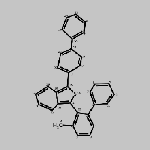 Cc1cccc(-c2ccccc2)c1-c1sc(-c2ccc(-c3ccccc3)cc2)c2ccccc12